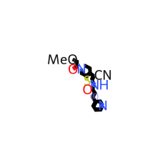 COCC(=O)N1CCc2c(sc(NC(=O)/C=C/c3cccnc3)c2C#N)C1